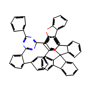 c1ccc(-c2nc(-c3ccccc3-c3cccc(-c4cccc5c4C4(c6ccccc6-c6ccccc64)c4ccccc4-5)c3)nc(-c3cccc4c3oc3ccccc34)n2)cc1